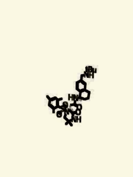 Cc1cc(C)c(S(=O)(=O)N2CC(C)(C)NC(=O)[C@H]2CC(=O)N[C@H]2CCCc3cc(CNC(C)(C)C)ccc32)c(C)c1